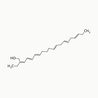 CCC=CCC=CCC=CCCCC=CC=CC=C(CC)CO